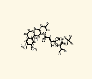 COc1cc2c(cc1OC)[C@H]1C[C@@H](OC(=O)/C=C/C(=O)N[C@H](C(=O)OC(C)(C)C)C(C)C)[C@H](CC(C)C)CN1CC2